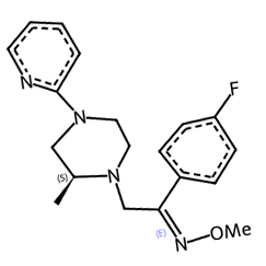 CO/N=C(/CN1CCN(c2ccccn2)C[C@@H]1C)c1ccc(F)cc1